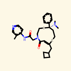 Cc1cnccc1NC(=O)CN1CCC[C@](c2ccccc2)(N(C)C)CCC/C(CC2CCC2)=C/C1=O